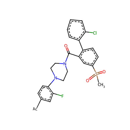 CC(=O)c1ccc(N2CCN(C(=O)c3cc(S(C)(=O)=O)ccc3-c3ccccc3Cl)CC2)c(F)c1